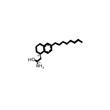 CCCCCCCCc1ccc2c(c1)CCC[C@@H]2C[C@@H](N)O